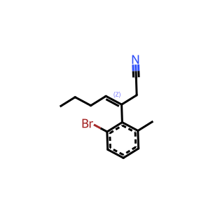 CCC/C=C(/CC#N)c1c(C)cccc1Br